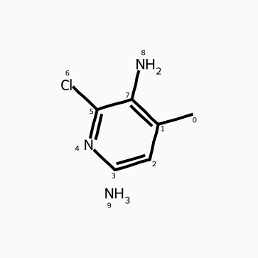 Cc1ccnc(Cl)c1N.N